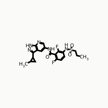 CCCS(=O)(=O)Nc1ccc(F)c(C(=O)Nc2cnc3[nH]nc(C4CC4C)c3c2)c1F